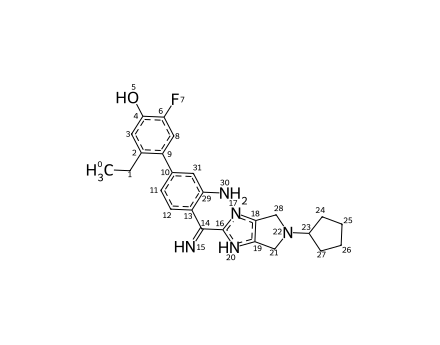 CCc1cc(O)c(F)cc1-c1ccc(C(=N)c2nc3c([nH]2)CN(C2CCCC2)C3)c(N)c1